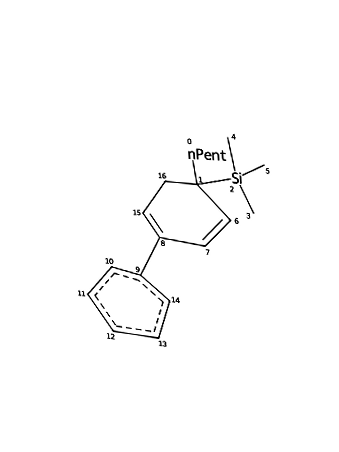 CCCCCC1([Si](C)(C)C)C=CC(c2ccccc2)=CC1